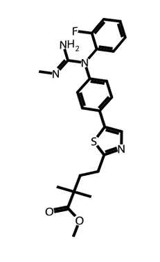 CN=C(N)N(c1ccc(-c2cnc(CCC(C)(C)C(=O)OC)s2)cc1)c1ccccc1F